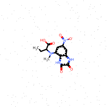 CCC(C(=O)O)N(C)c1cc([N+](=O)[O-])cc2[nH]c(=O)c(=O)[nH]c12